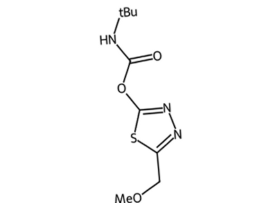 COCc1nnc(OC(=O)NC(C)(C)C)s1